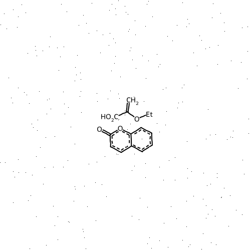 C=C(OCC)C(=O)O.O=c1ccc2ccccc2o1